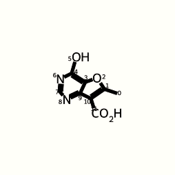 Cc1oc2c(O)ncnc2c1C(=O)O